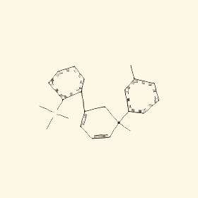 C[Si](C)(C)c1ccccc1C1=CC=CC(I)(c2cccc(I)c2)C1